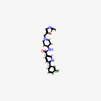 Cc1ncc(CN2CCC(NC(=O)c3ccc(-c4cccc(F)c4)nc3)CC2)s1